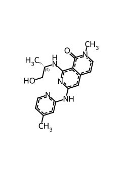 Cc1ccnc(Nc2cc3ccn(C)c(=O)c3c(N[C@@H](C)CO)n2)c1